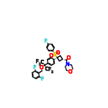 O=C([C@H]1C[C@](c2ccc(C(OCc3c(F)cccc3F)(C(F)(F)F)C(F)(F)F)cc2)(S(=O)(=O)c2ccc(F)cc2)C1)N1CCOCC1